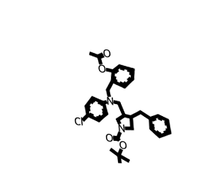 CC(=O)Oc1ccccc1CN(CC1CN(C(=O)OC(C)(C)C)CC1Cc1ccccc1)c1ccc(Cl)cc1